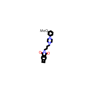 COc1cccc(N2CCN(CCCCN3C(=O)C4C5C=CC(C6C=CC65)C4C3=O)CC2)c1